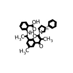 Cc1cc(C(C)Nc2ccccc2C(=O)O)c2oc(N3CC[C@H](c4ccccc4)C3)c(C)c(=O)c2c1